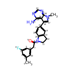 Cc1cc(F)cc(CC(=O)N2CCc3cc(-c4cn(C)c5ncnc(N)c45)ccc32)c1